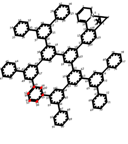 CC12CC1(C)N1CC=CC=C1c1cc(-c3cc(-c4cc(-c5cc(-c6ccccc6)cc(-c6ccccc6)c5)cc(-c5cc(-c6ccccc6)cc(-c6ccccc6)c5)c4)cc(-c4cc(-c5cc(-c6ccccc6)cc(-c6ccccc6)c5)cc(-c5cc(-c6ccccc6)cc(C6C=CC=CC6)c5)c4)c3)ccc12